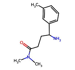 Cc1cccc(C(N)CCC(=O)N(C)C)c1